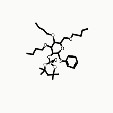 CCCCOCC1OC(Sc2ccccc2)C(OP2(=O)OC(C)(C)CC(C)(C)O2)C(OCCCC)C1OCCCC